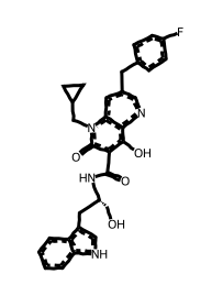 O=C(N[C@H](CO)Cc1c[nH]c2ccccc12)c1c(O)c2ncc(Cc3ccc(F)cc3)cc2n(CC2CC2)c1=O